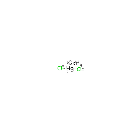 [Cl][Hg][Cl].[GeH4]